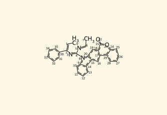 C\C=C(/N=C(\N=C\C)n1c2ccccc2c2cc3c(cc21)c(=O)oc1ccccc13)c1ccccc1